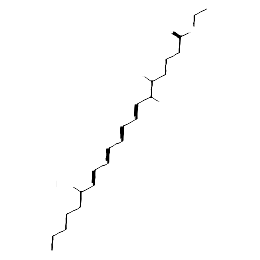 CCCCCC(O)C=CC=CC=CC=CC(O)C(O)CCCC(=O)OCC